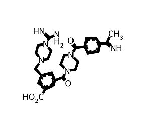 CC(=N)c1ccc(C(=O)N2CCN(C(=O)c3cc(CN4CCN(C(=N)N)CC4)cc(C(=O)O)c3)CC2)cc1